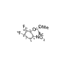 CO[C@@H](Oc1c([N+](=O)[O-])ccc(F)c1F)C(C)=O